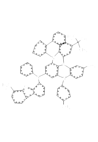 Cc1ccc(N2c3ccc(C)cc3B3c4cc(C(C)(C)C)ccc4N(c4ccccc4-c4ccccc4)c4cc(N(c5ccccc5)c5cccc6c5oc5c(C)cccc56)cc2c43)cc1